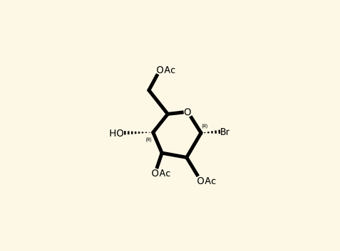 CC(=O)OCC1O[C@H](Br)C(OC(C)=O)C(OC(C)=O)[C@@H]1O